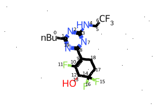 CCCCc1nc(NCC(F)(F)F)nc(C2=C(F)[C@@H](O)C(F)(F)CC2)n1